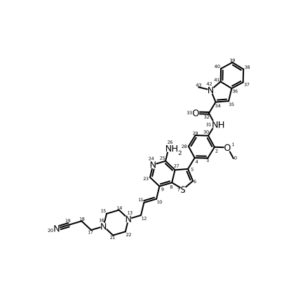 COc1cc(-c2csc3c(C=CCN4CCN(CCC#N)CC4)cnc(N)c23)ccc1NC(=O)c1cc2ccccc2n1C